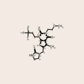 COCCn1c(=O)c2c(C)c(CN3CCNC3=S)sc2n(CCC(F)(F)F)c1=O